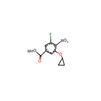 COC(=O)c1cc(F)c([N+](=O)[O-])c(OC2CC2)c1